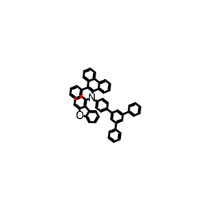 c1ccc(-c2cc(-c3ccccc3)cc(-c3ccc(N(c4c(-c5ccccc5)c5ccccc5c5ccccc45)c4cccc5oc6ccccc6c45)cc3)c2)cc1